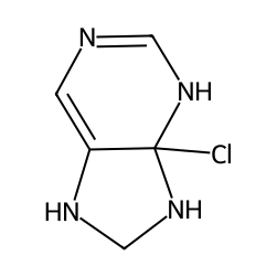 ClC12NC=NC=C1NCN2